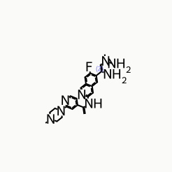 C=C(Nc1cc2cc(/C(N)=C/N(C)N)c(F)cc2cn1)c1ccnc(N2CCN(C)CC2)c1